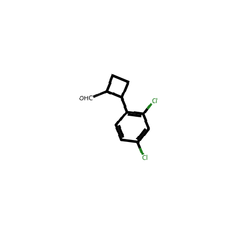 O=CC1CCC1c1ccc(Cl)cc1Cl